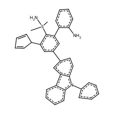 CS(C)(N)c1c(-c2ccccc2N)cc(-c2ccc3c(c2)c2ccccc2n3-c2ccccc2)cc1C1C=CC=C1